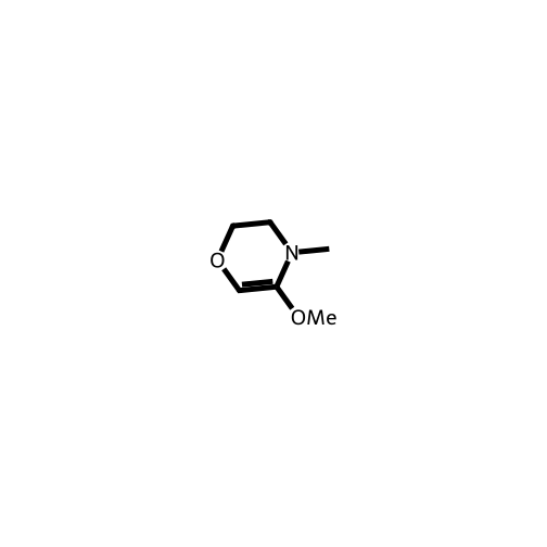 COC1=COCCN1C